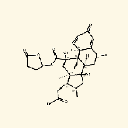 CCC(=O)O[C@@H]1[C@H](C)C[C@H]2[C@@H]3C[C@H](F)C4=CC(=O)C=C[C@]4(C)[C@@]3(F)[C@@](O)(C(=O)SC3CCC(=O)O3)C[C@]12C